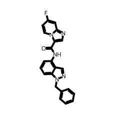 O=C(Nc1cccc2c1cnn2Cc1ccccc1)c1cnc2cc(F)ccn12